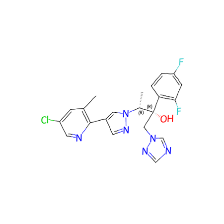 Cc1cc(Cl)cnc1-c1cnn([C@H](C)[C@](O)(Cn2cncn2)c2ccc(F)cc2F)c1